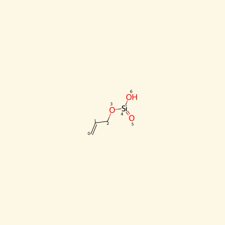 C=CCO[Si](=O)O